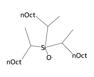 CCCCCCCCC(C)[Si]([O])(C(C)CCCCCCCC)C(C)CCCCCCCC